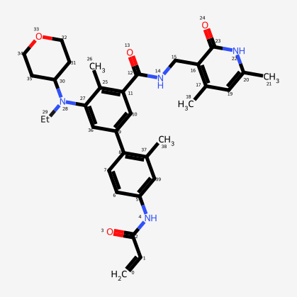 C=CC(=O)Nc1ccc(-c2cc(C(=O)NCc3c(C)cc(C)[nH]c3=O)c(C)c(N(CC)C3CCOCC3)c2)c(C)c1